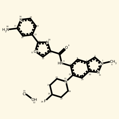 Cn1cc2cc(NC(=O)c3coc(-c4ccnc(N)c4)n3)c(N3CCC(F)CC3)cc2n1.OCl